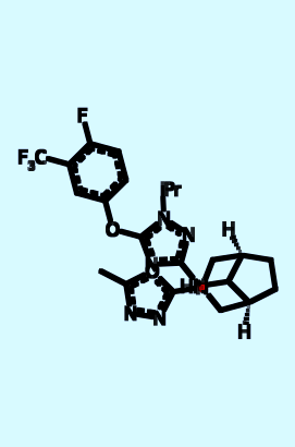 Cc1nnc(N2C[C@H]3CC[C@@H](C2)C3Nc2nc(Oc3ccc(F)c(C(F)(F)F)c3)n(C(C)C)n2)o1